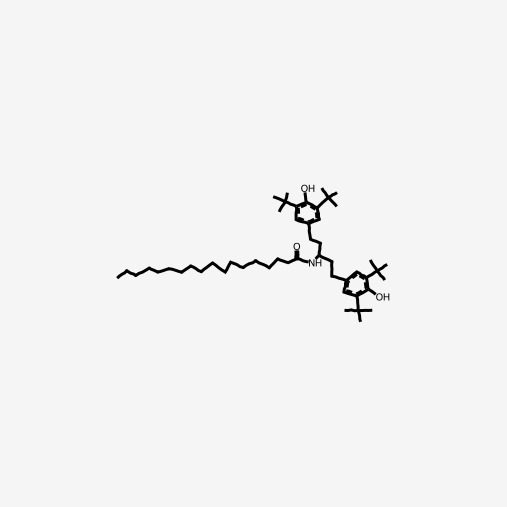 CCCCCCCCCCCCCCCCCC(=O)NC(CCc1cc(C(C)(C)C)c(O)c(C(C)(C)C)c1)CCc1cc(C(C)(C)C)c(O)c(C(C)(C)C)c1